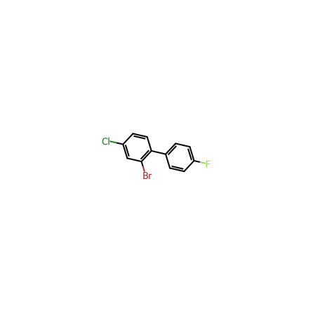 Fc1ccc(-c2ccc(Cl)cc2Br)cc1